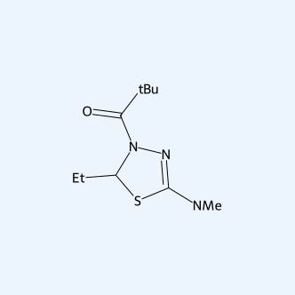 CCC1SC(NC)=NN1C(=O)C(C)(C)C